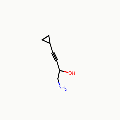 NCC(O)C#CC1CC1